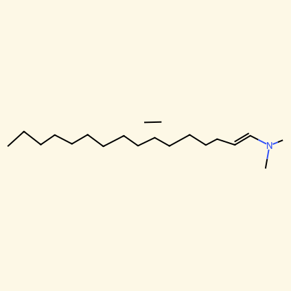 CC.CCCCCCCCCCCCCCC=CN(C)C